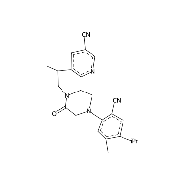 Cc1cc(N2CCN(CC(C)c3cncc(C#N)c3)C(=O)C2)c(C#N)cc1C(C)C